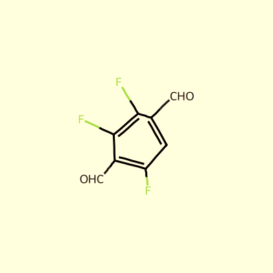 O=Cc1cc(F)c(C=O)c(F)c1F